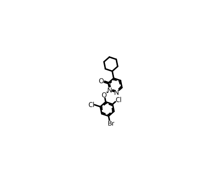 O=c1c(C2CCCCC2)ccnn1Oc1c(Cl)cc(Br)cc1Cl